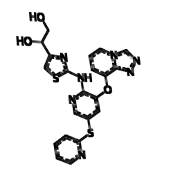 OCC(O)c1csc(Nc2ncc(Sc3ccccn3)cc2Oc2cccn3cnnc23)n1